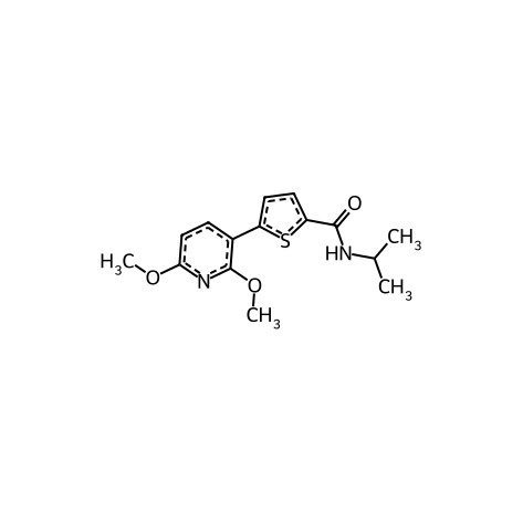 COc1ccc(-c2ccc(C(=O)NC(C)C)s2)c(OC)n1